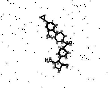 Cc1cc(C2CC2)cnc1N1CCN(C(=O)c2ccc(N3C(=O)OCC3C)nn2)CC1